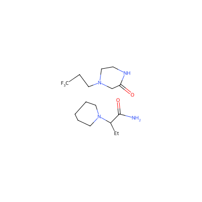 CCC(C(N)=O)N1CCCCC1.O=C1CN(CCC(F)(F)F)CCN1